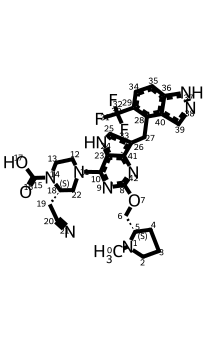 CN1CCC[C@H]1COc1nc(N2CCN(C(=O)O)[C@@H](CC#N)C2)c2[nH]cc(Cc3c(C(F)(F)F)ccc4[nH]ncc34)c2n1